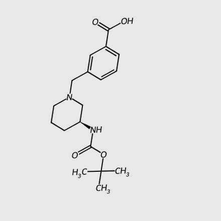 CC(C)(C)OC(=O)N[C@H]1CCCN(Cc2cccc(C(=O)O)c2)C1